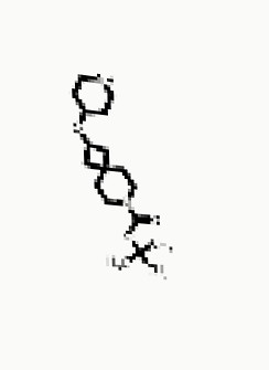 CC(C)(C)OC(=O)N1CCC2(CC1)CC(OC1CCNCC1)C2